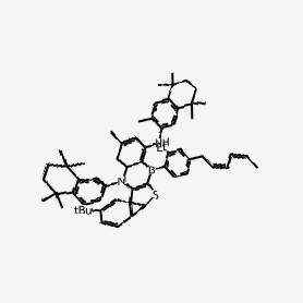 C/C=C\C=C/Cc1ccc(B2C3=C(N(c4ccc5c(c4)C(C)(C)CCC5(C)C)C4CC(C)=CC(Nc5cc6c(cc5C)C(C)(C)CCC6(C)C)=C24)[C@@]24C=C(C(C)(C)C)C=CC2C4S3)c(CC)c1